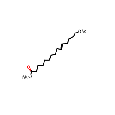 COC(=O)CCCCCCCCC=CCCCCOC(C)=O